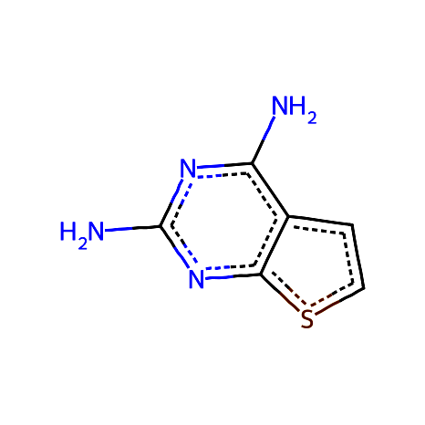 Nc1nc(N)c2ccsc2n1